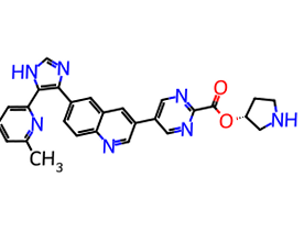 Cc1cccc(-c2[nH]cnc2-c2ccc3ncc(-c4cnc(C(=O)O[C@@H]5CCNC5)nc4)cc3c2)n1